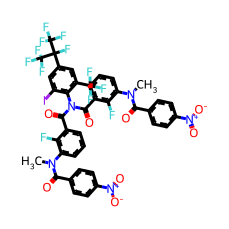 CN(C(=O)c1ccc([N+](=O)[O-])cc1)c1cccc(C(=O)N(C(=O)c2cccc(N(C)C(=O)c3ccc([N+](=O)[O-])cc3)c2F)c2c(I)cc(C(F)(C(F)(F)F)C(F)(F)F)cc2C(F)(F)F)c1F